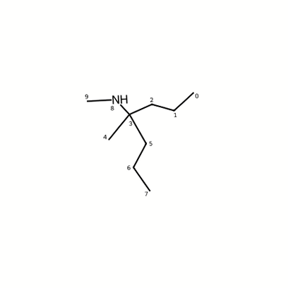 CCCC(C)(CCC)NC